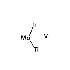 [Ti][Mo][Ti].[V]